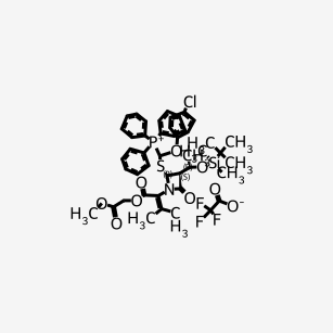 COC(=O)COC(=O)C(=C(C)C)N1C(=O)[C@H]([C@@H](C)O[Si](C)(C)C(C)(C)C)[C@H]1SC(Oc1ccc(Cl)cc1)[P+](c1ccccc1)(c1ccccc1)c1ccccc1.O=C([O-])C(F)(F)F